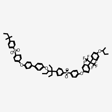 CCC(C)Oc1ccc(C(c2ccc(Oc3ccc(S(=O)(=O)c4ccc(C(CC)(CC)C(CC)Oc5ccc(-c6ccc(Oc7ccc(S(=O)(=O)c8ccc(C(C)(C)CC)cc8)cc7)cc6)cc5)cc4)cc3)cc2)(C(F)(F)F)C(F)(F)F)cc1